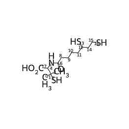 CC(C)(S)C(NC(=O)CCCCC(S)CCS)C(=O)O